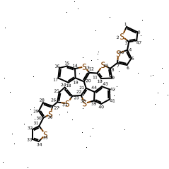 c1csc(-c2ccc(-c3ccc(-c4sc5ccccc5c4-c4c(-c5ccc(-c6ccc(-c7cccs7)s6)s5)sc5ccccc45)s3)s2)c1